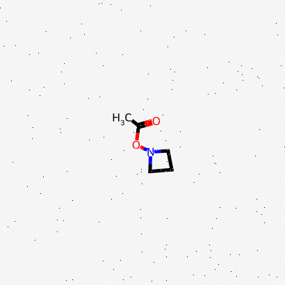 CC(=O)ON1CCC1